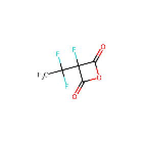 O=C1OC(=O)C1(F)C(F)(F)C(F)(F)F